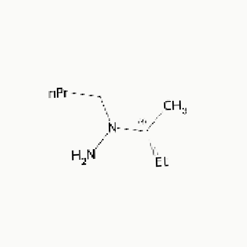 CCCCN(N)[C@H](C)CC